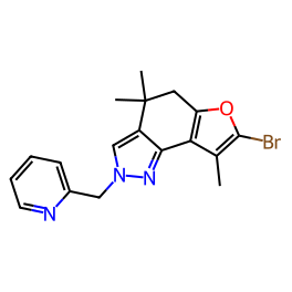 Cc1c(Br)oc2c1-c1nn(Cc3ccccn3)cc1C(C)(C)C2